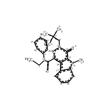 CCN(C(=O)c1nn(CC(C)(C)C)c(=O)c2c1c1ccccc1n2C)c1ccccc1